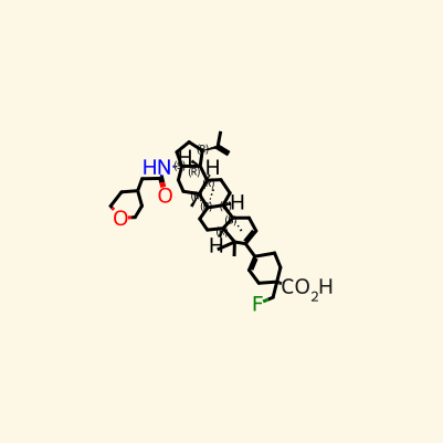 C=C(C)[C@@H]1CC[C@]2(NC(=O)CC3CCOCC3)CC[C@]3(C)[C@H](CC[C@@H]4[C@@]5(C)CC=C(C6=CCC(CF)(C(=O)O)CC6)C(C)(C)[C@@H]5CC[C@]43C)[C@@H]12